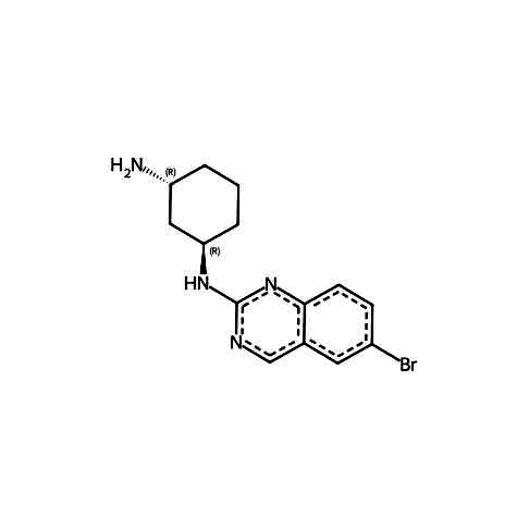 N[C@@H]1CCC[C@@H](Nc2ncc3cc(Br)ccc3n2)C1